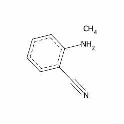 C.N#Cc1ccccc1N